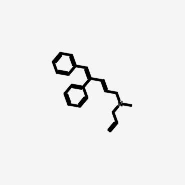 C=CCN(C)CC=CC(=Cc1ccccc1)c1ccccc1